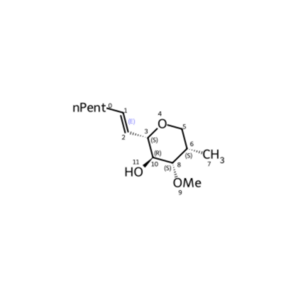 CCCCC/C=C/[C@@H]1OC[C@H](C)[C@H](OC)[C@H]1O